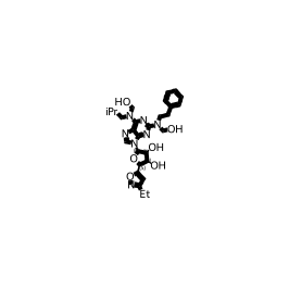 CCc1cc([C@H]2O[C@@H](n3cnc4c(N(CO)CC(C)C)nc(N(CO)CCc5ccccc5)nc43)[C@H](O)[C@@H]2O)on1